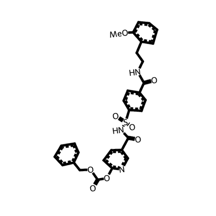 COc1ccccc1CCNC(=O)c1ccc(S(=O)(=O)NC(=O)c2ccc(OC(=O)OCc3ccccc3)nc2)cc1